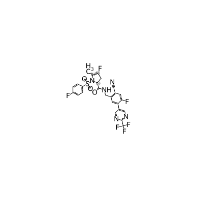 C[C@H]1[C@H](F)C[C@@H](C(=O)NCc2cc(-c3cnc(C(F)(F)F)nc3)c(F)cc2C#N)N1S(=O)(=O)c1ccc(F)cc1